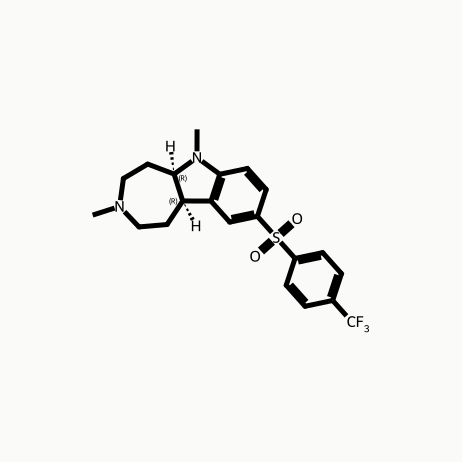 CN1CC[C@@H]2c3cc(S(=O)(=O)c4ccc(C(F)(F)F)cc4)ccc3N(C)[C@@H]2CC1